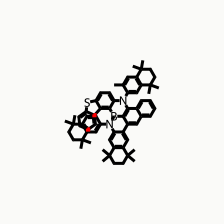 Cc1cc2c(cc1N1c3ccc4sc5ccccc5c4c3B3c4c(cc5ccccc5c41)-c1cc4c(cc1N3c1ccc3c(c1)C(C)(C)CCC3(C)C)C(C)(C)CCC4(C)C)C(C)(C)CCC2(C)C